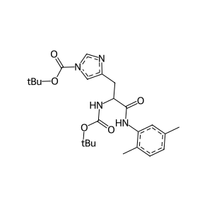 Cc1ccc(C)c(NC(=O)C(Cc2cn(C(=O)OC(C)(C)C)cn2)NC(=O)OC(C)(C)C)c1